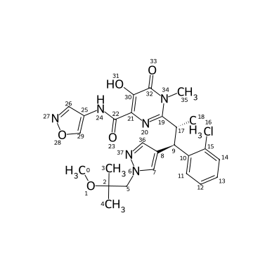 COC(C)(C)Cn1cc([C@H](c2ccccc2Cl)[C@@H](C)c2nc(C(=O)Nc3cnoc3)c(O)c(=O)n2C)cn1